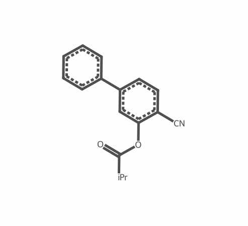 CC(C)C(=O)Oc1cc(-c2ccccc2)ccc1C#N